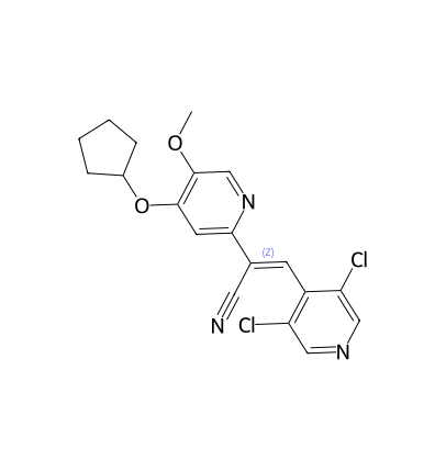 COc1cnc(/C(C#N)=C/c2c(Cl)cncc2Cl)cc1OC1CCCC1